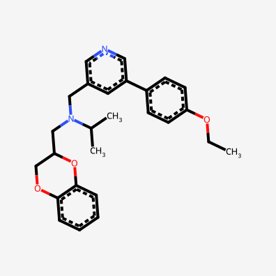 CCOc1ccc(-c2cncc(CN(CC3COc4ccccc4O3)C(C)C)c2)cc1